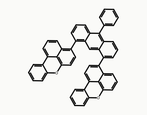 c1ccc(-c2c3cccc(-c4ccc5c6c(cccc46)-c4ccccc4O5)c3cc3c(-c4ccc5c6c(cccc46)Oc4ccccc4-5)cccc23)cc1